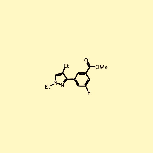 CCc1cn(CC)nc1-c1cc(F)cc(C(=O)OC)c1